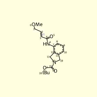 COC/C=C/C(=O)Nc1cccc2c1CN(C(=O)OC(C)(C)C)C2